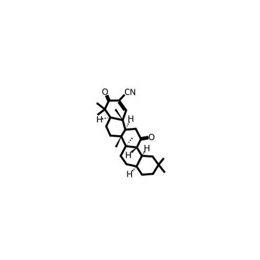 CC1(C)CC[C@H]2CC[C@]3(C)[C@H](C(=O)C[C@@H]4[C@@]5(C)C=C(C#N)C(=O)C(C)(C)[C@@H]5CC[C@]43C)[C@H]2C1